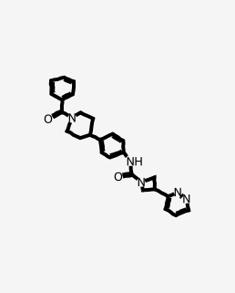 O=C(Nc1ccc(C2CCN(C(=O)c3ccccc3)CC2)cc1)N1CC(c2cccnn2)C1